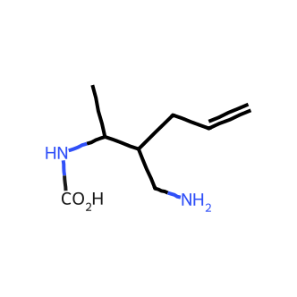 C=CCC(CN)C(C)NC(=O)O